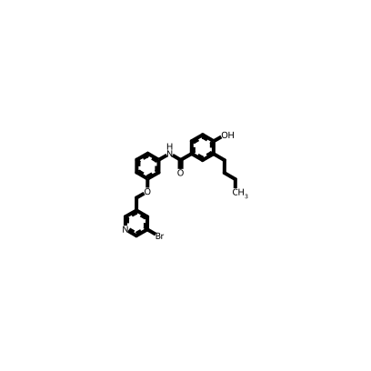 CCCCc1cc(C(=O)Nc2cccc(OCc3cncc(Br)c3)c2)ccc1O